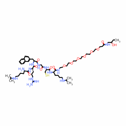 CC[C@@H](O)CNC(=O)CCOCCOCCOCCOCCOCCOCCNC(=O)C(CCCCNC(C)C)NC(=O)C(CS)NC(=O)CNC(=O)C(Cc1ccc2ccccc2c1)NC(=O)[C@@H](CCCNC(=N)N)NC(=O)C(N)CCCCNC(C)C